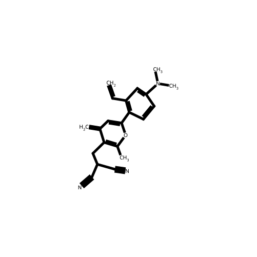 C=Cc1cc(N(C)C)ccc1C1=CC(=C)C(CC(C#N)C#N)=C(C)O1